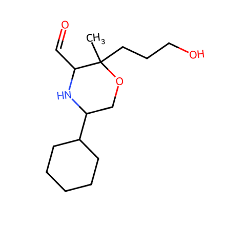 CC1(CCCO)OCC(C2CCCCC2)NC1C=O